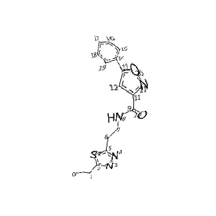 CCc1nnc(CCNC(=O)c2cc(-c3ccccc3)on2)s1